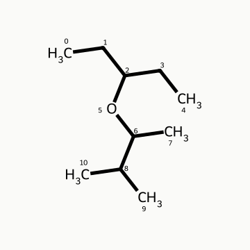 CCC(CC)OC(C)C(C)C